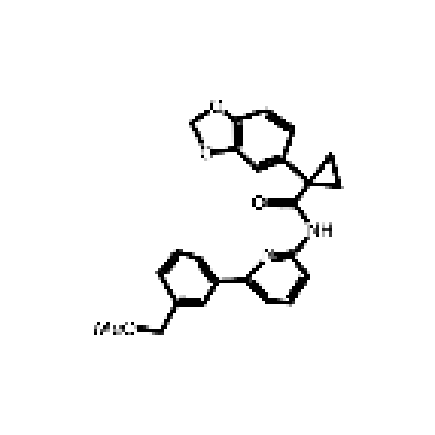 COCc1cccc(-c2cccc(NC(=O)C3(c4ccc5c(c4)OCO5)CC3)n2)c1